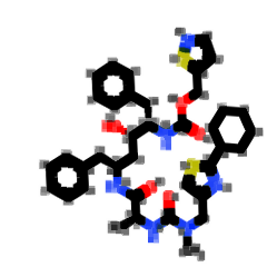 CC(C)[C@H](NC(=O)N(C)Cc1csc(C2CCCCC2)n1)C(=O)N[C@@H](Cc1ccccc1)C[C@H](O)[C@H](Cc1ccccc1)NC(=O)OCc1ccns1